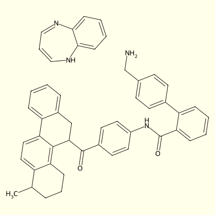 C1=CNc2ccccc2N=C1.CC1CCCc2c1ccc1c2C(C(=O)c2ccc(NC(=O)c3ccccc3-c3ccc(CN)cc3)cc2)Cc2ccccc2-1